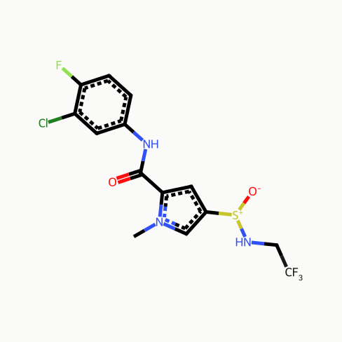 Cn1cc([S+]([O-])NCC(F)(F)F)cc1C(=O)Nc1ccc(F)c(Cl)c1